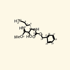 COC(=N)C(O)[C@H](CCCN)NC(=O)OCc1ccccc1